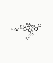 CCOC(=O)c1cc(-c2ccc(N(C)CCOC)nc2)c(C(=N)C(C)C)c(NC2=CC=CC(N3CCCC3)C2)n1